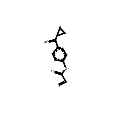 C=CC(=O)Oc1ccc(C(=O)C2CC2)cc1